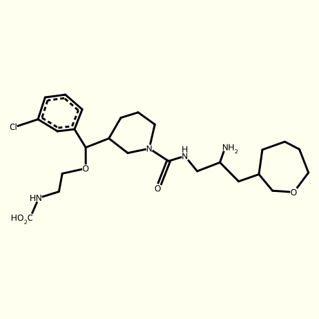 NC(CNC(=O)N1CCCC(C(OCCNC(=O)O)c2cccc(Cl)c2)C1)CC1CCCCOC1